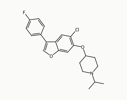 CC(C)N1CCC(Oc2cc3o[c]c(-c4ccc(F)cc4)c3cc2Cl)CC1